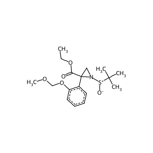 CCOC(=O)C1(c2ccccc2OCOC)CN1[S+]([O-])C(C)(C)C